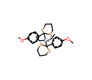 C[CH2][Ge]([CH2]C)([C]1(c2ccc(OC)cc2)SCCCS1)[C]1(c2ccc(OC)cc2)SCCCS1